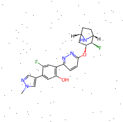 Cn1cc(-c2cc(O)c(-c3ccc(O[C@H]4C[C@@H]5CC[C@@H](N5)[C@H]4F)nn3)cc2F)cn1